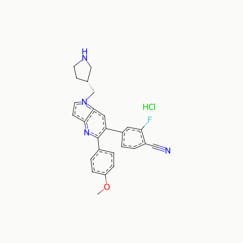 COc1ccc(-c2nc3ccn(C[C@@H]4CCNC4)c3cc2-c2ccc(C#N)c(F)c2)cc1.Cl